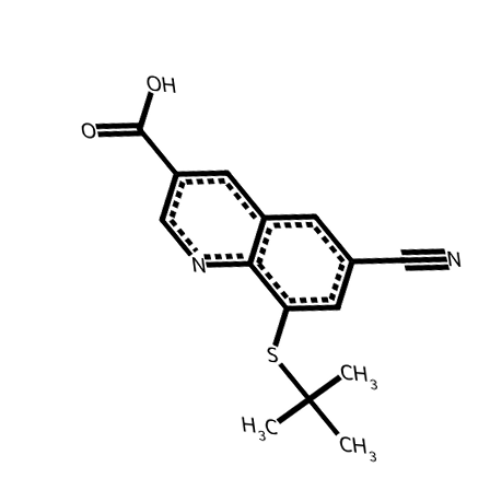 CC(C)(C)Sc1cc(C#N)cc2cc(C(=O)O)cnc12